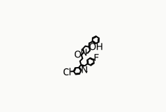 Cn1c(-c2ccc(F)cc2)c(CCC(=O)N2CCC(O)(Cc3ccccc3)CC2)c2cc(Cl)ccc21